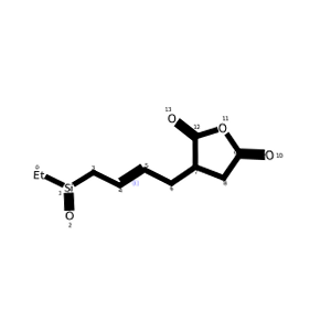 CC[Si](=O)C/C=C/CC1CC(=O)OC1=O